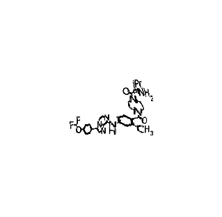 Cc1cc(Nc2nccn3c(-c4ccc(OC(F)F)cc4)cnc23)ccc1C(=O)N1CCN(C(=O)[C@@H](N)C(C)C)CC1